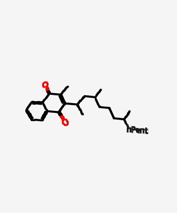 CCCCCC(C)CCCC(C)CC(C)C1=C(C)C(=O)c2ccccc2C1=O